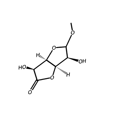 COC1O[C@H]2[C@H](OC(=O)[C@H]2O)[C@@H]1O